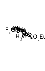 CCOC(=O)COc1cc(C)cc(CN2CCN(c3nc4ccc(C(F)(F)F)cc4s3)C[C@H]2CC)c1